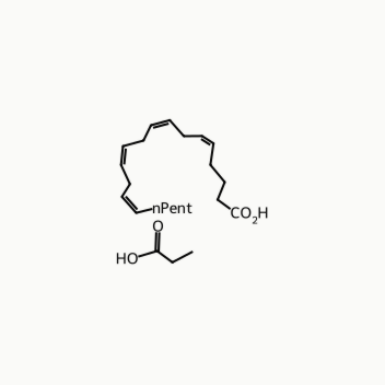 CCC(=O)O.CCCCC/C=C\C/C=C\C/C=C\C/C=C\CCCC(=O)O